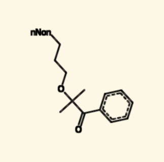 CCCCCCCCCCCCOC(C)(C)C(=O)c1ccccc1